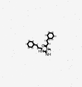 CN(C(=N)NCCCC1CCCCC1)C(=O)CCC1CCCCC1